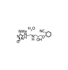 CNc1n[s+]([O-])nc1NCCNCC(O)COc1ccccc1C#N.O